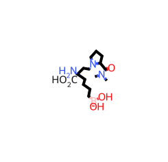 CN(C)C(=O)C1CCCN1CCC(N)(CCCCB(O)O)C(=O)O